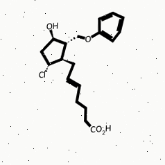 O=C(O)CCCC=CC[C@@H]1[C@@H](COc2ccccc2)[C@H](O)C[C@H]1Cl